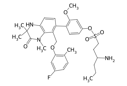 CCCC(N)CCS(=O)(=O)Oc1ccc(-c2ccc3c(c2COc2cc(F)ccc2C)N(C)C(=O)C(C)(C)N3)c(OC)c1